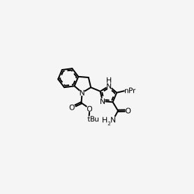 CCCc1[nH]c(C2Cc3ccccc3N2C(=O)OC(C)(C)C)nc1C(N)=O